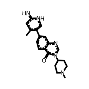 Cc1cc(=N)[nH]cc1-c1ccc2c(=O)n(C3CCN(C)CC3)cnc2c1